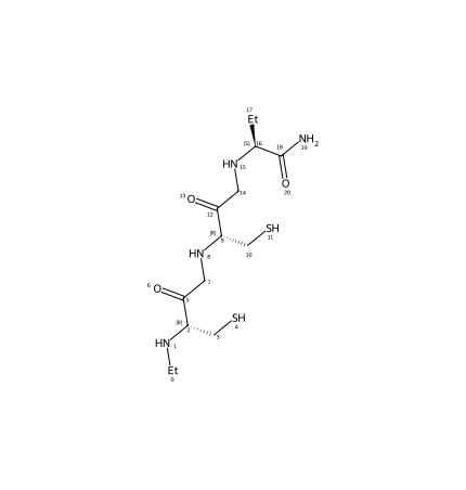 CCN[C@@H](CS)C(=O)CN[C@@H](CS)C(=O)CN[C@@H](CC)C(N)=O